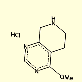 COc1ncnc2c1CCNC2.Cl